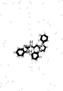 c1ccc(N2CCN(c3ccccc3)P2CCNc2nc3ccccc3[nH]2)cc1